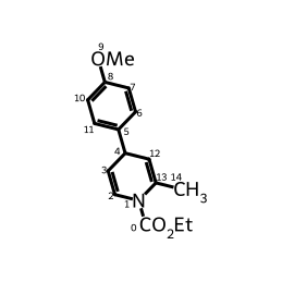 CCOC(=O)N1C=CC(c2ccc(OC)cc2)C=C1C